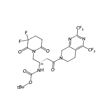 CC(C)(C)OC(=O)N[C@@H](CC(=O)N1CCc2c(nc(C(F)(F)F)nc2C(F)(F)F)C1)CN1C(=O)CCC(F)(F)C1=O